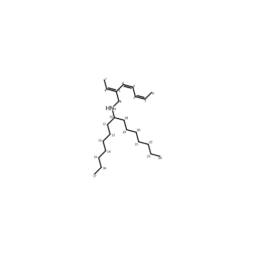 C\C=C/C=C\C(=C/C)CNC(CCCCCCC)CCCCCCC